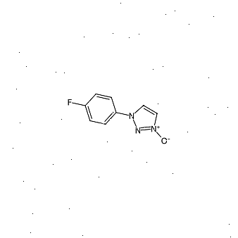 [O-][n+]1ccn(-c2ccc(F)cc2)n1